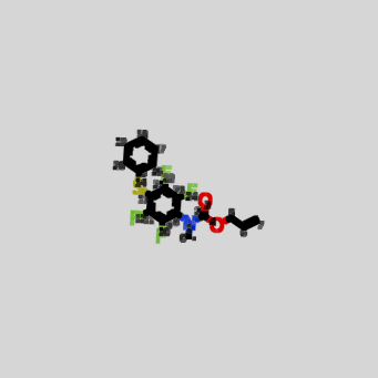 [CH2]N(C(=O)OCC=C)c1c(F)c(F)c(Sc2ccccc2)c(F)c1F